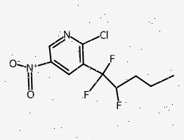 CCCC(F)C(F)(F)c1cc([N+](=O)[O-])cnc1Cl